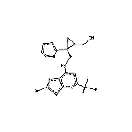 OC[C@@H]1C[C@@]1(CNc1cc(C(F)(F)F)nc2cc(Br)nn12)c1ccccn1